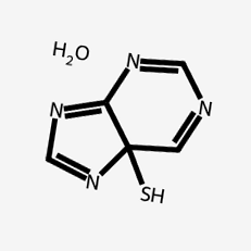 O.SC12C=NC=NC1=NC=N2